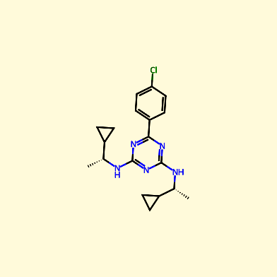 C[C@@H](Nc1nc(N[C@H](C)C2CC2)nc(-c2ccc(Cl)cc2)n1)C1CC1